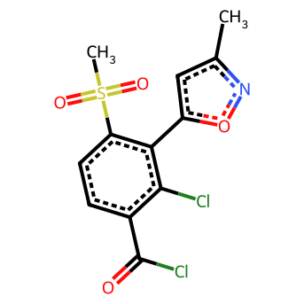 Cc1cc(-c2c(S(C)(=O)=O)ccc(C(=O)Cl)c2Cl)on1